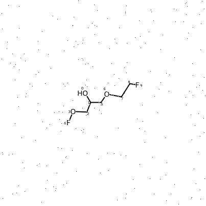 OC(COF)COCCF